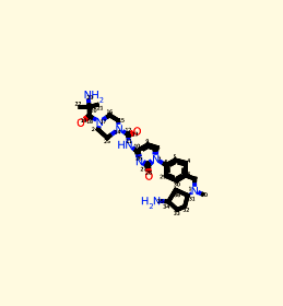 CN(Cc1ccc(-n2ccc(NC(=O)N3CCN(C(=O)C(C)(C)N)CC3)nc2=O)cc1)[C@H]1CCC(N)C1